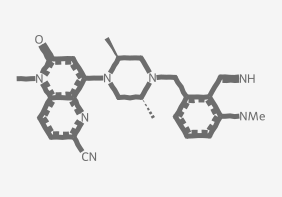 CNc1cccc(CN2C[C@H](C)N(c3cc(=O)n(C)c4ccc(C#N)nc34)C[C@H]2C)c1C=N